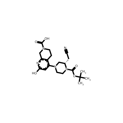 CC(C)(C)OC(=O)N1CCN(c2cc(O)nc3c2CCN(C(=O)O)C3)C[C@@H]1CC#N